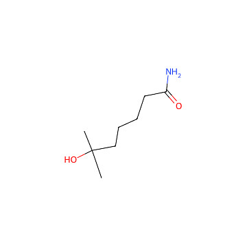 CC(C)(O)CCCCC(N)=O